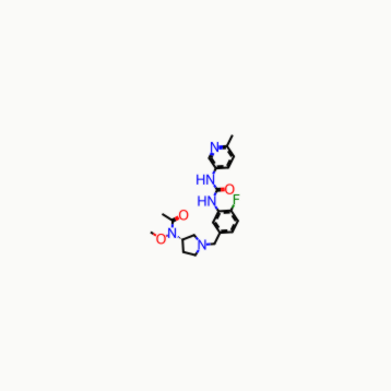 CON(C(C)=O)[C@H]1CCN(Cc2ccc(F)c(NC(=O)Nc3ccc(C)nc3)c2)C1